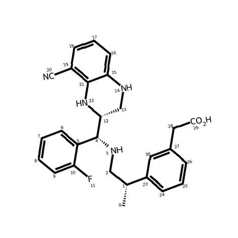 C[C@H](CN[C@H](c1ccccc1F)[C@H]1CNc2cccc(C#N)c2N1)c1cccc(CC(=O)O)c1